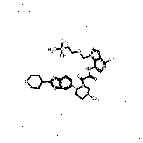 C[C@H]1CC[C@H](c2ccc3sc(C4CCOCC4)nc3c2)N(C(=O)C(=O)Nc2cnc(N)c3cnn(COCC[Si](C)(C)C)c23)C1